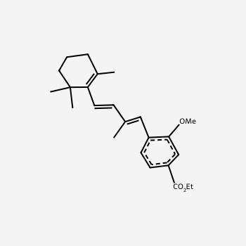 CCOC(=O)c1ccc(/C=C(C)/C=C/C2=C(C)CCCC2(C)C)c(OC)c1